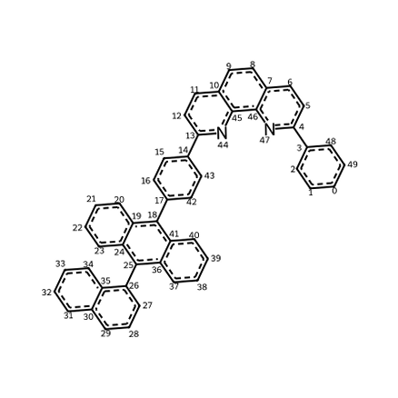 c1ccc(-c2ccc3ccc4ccc(-c5ccc(-c6c7ccccc7c(-c7cccc8ccccc78)c7ccccc67)cc5)nc4c3n2)cc1